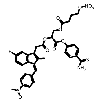 CC1=C(CC(=O)OC(COC(=O)CCCO[N+](=O)[O-])C(=O)Oc2ccc(C(N)=S)cc2)c2cc(F)ccc2/C1=C\c1ccc([S+](C)[O-])cc1